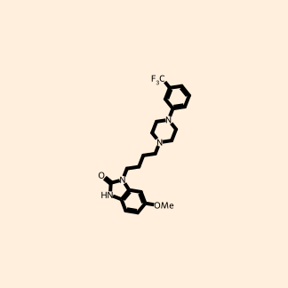 COc1ccc2[nH]c(=O)n(CCCCN3CCN(c4cccc(C(F)(F)F)c4)CC3)c2c1